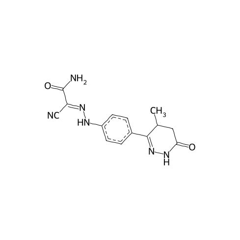 CC1CC(=O)NN=C1c1ccc(N/N=C(\C#N)C(N)=O)cc1